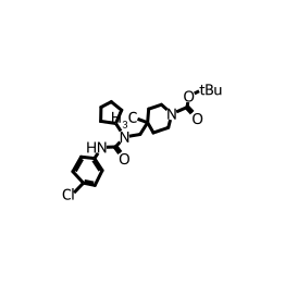 CC1(CN(C(=O)Nc2ccc(Cl)cc2)C2CCCC2)CCN(C(=O)OC(C)(C)C)CC1